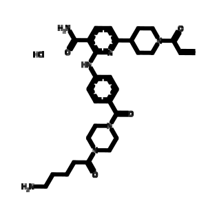 C=CC(=O)N1CCC(c2ccc(C(N)=O)c(Nc3ccc(C(=O)N4CCN(C(=O)CCCCN)CC4)cc3)n2)CC1.Cl